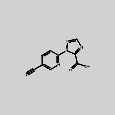 N#Cc1ccc(-n2ncnc2C(=O)O)nc1